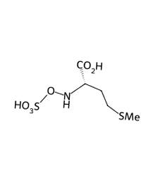 CSCC[C@H](NOS(=O)(=O)O)C(=O)O